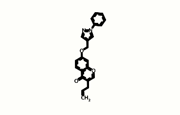 C=CCc1coc2cc(OCc3cnn(-c4ccccc4)c3)ccc2c1=O